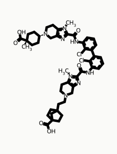 Cn1c(C(=O)Nc2cccc(-c3cccc(NC(=O)c4nc5c(n4C)CCN([C@H]4CC[C@@](C)(C(=O)O)CC4)C5)c3Cl)c2Cl)nc2c1CCN(CCC13CCC(C(=O)O)(CC1)C3)C2